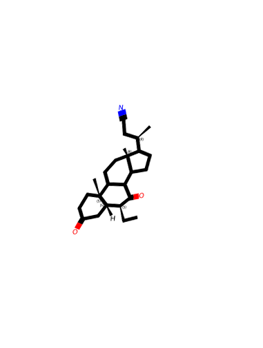 CC[C@@H]1C(=O)C2C3CCC([C@H](C)CC#N)[C@@]3(C)CCC2[C@@]2(C)CCC(=O)C[C@@H]12